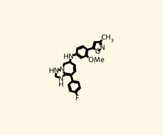 COc1cc(NC2C=CC(c3ccc(F)cc3)=C3NCNN3C2)ccc1-c1cc(C)no1